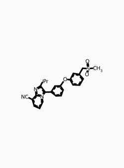 CC(C)c1nc2c(C#N)cccn2c1-c1cccc(Oc2cccc(CS(C)(=O)=O)c2)c1